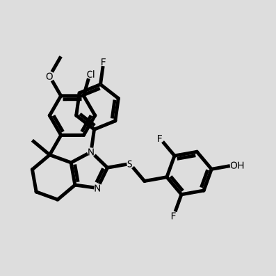 COc1cc(C2(C)CCCc3nc(SCc4c(F)cc(O)cc4F)n(-c4ccc(F)cc4)c32)ccc1Cl